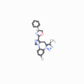 Cc1nnn2c1Cc1c(C3=N[C@@H](c4ccccc4)CO3)ncn1-c1ccc(Cl)cc1-2